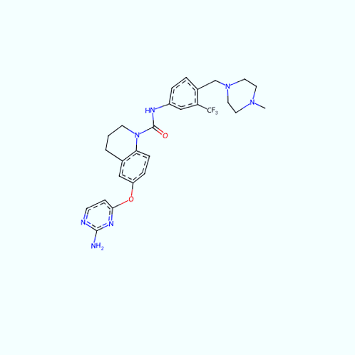 CN1CCN(Cc2ccc(NC(=O)N3CCCc4cc(Oc5ccnc(N)n5)ccc43)cc2C(F)(F)F)CC1